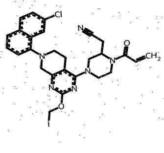 C=CC(=O)N1CCN(c2nc(OCI)nc3c2CCN(c2cccc4ccc(Cl)cc24)C3)CC1CC#N